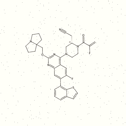 C=C(F)C(=O)N1CCN(c2nc(OCC34CCCN3CCC4)nc3cc(-c4cccc5ccsc45)c(F)cc23)C[C@@H]1CC#N